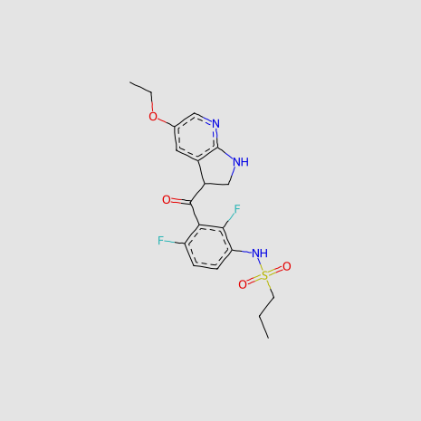 CCCS(=O)(=O)Nc1ccc(F)c(C(=O)C2CNc3ncc(OCC)cc32)c1F